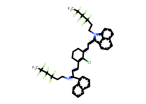 FC(F)(F)C(F)(F)C(F)(F)C(F)(F)CC/N=C(\C=C\C1=C(Cl)C(=C/C=c2\c3cccc4cccc(c43)n2CCC(F)(F)C(F)(F)C(F)(F)C(F)(F)F)/CCC1)c1cccc2ccccc12